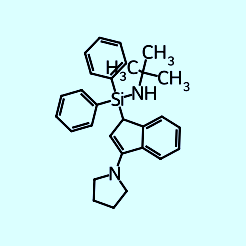 CC(C)(C)N[Si](c1ccccc1)(c1ccccc1)C1C=C(N2CCCC2)c2ccccc21